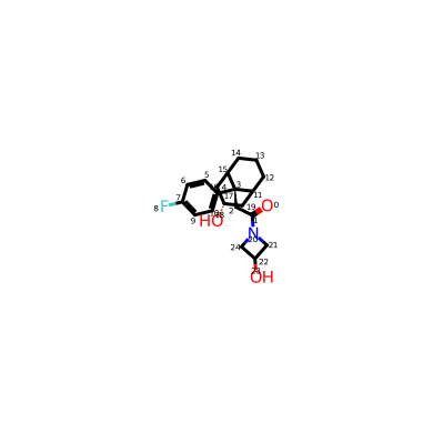 O=C(C[C@]1(c2ccc(F)cc2)C2CCCC1C[C@@H](O)C2)N1CC(O)C1